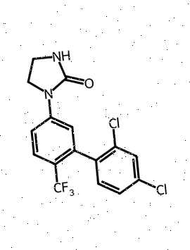 O=C1NCCN1c1ccc(C(F)(F)F)c(-c2ccc(Cl)cc2Cl)c1